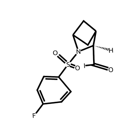 O=C(I)[C@@H]1C2CC(C2)N1S(=O)(=O)c1ccc(F)cc1